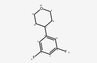 Fc1cc(F)cc(C2CCOCC2)c1